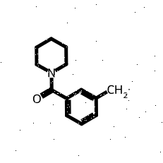 [CH2]c1cccc(C(=O)N2CCCCC2)c1